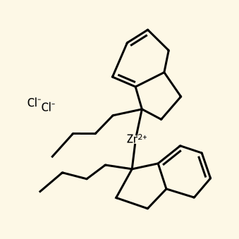 CCCC[C]1([Zr+2][C]2(CCCC)CCC3CC=CC=C32)CCC2CC=CC=C21.[Cl-].[Cl-]